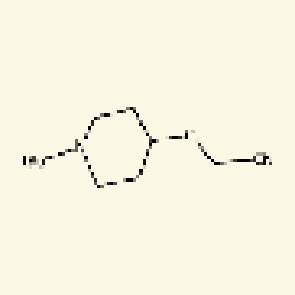 CC(C)(C)N1CCC(OCC#N)CC1